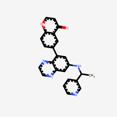 CC(Nc1cc(-c2ccc3occc(=O)c3c2)c2nccnc2c1)c1cccnc1